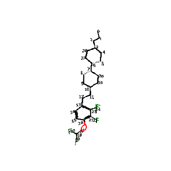 CCC[C@H]1CC[C@H]([C@H]2CC[C@H](CCc3ccc(OC(F)F)c(F)c3F)CC2)CC1